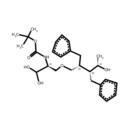 C[C@H](O)[C@H](Cc1ccccc1)[C@H](COC[C@H](NC(=O)OC(C)(C)C)C(O)O)Cc1ccccc1